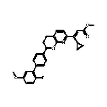 COC(=O)C=C(c1ccc2c(n1)OC(c1ccc(-c3cc(OC)ccc3F)cc1)CC2)C1CC1